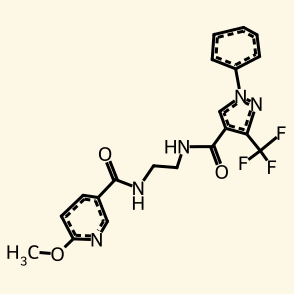 COc1ccc(C(=O)NCCNC(=O)c2cn(-c3ccccc3)nc2C(F)(F)F)cn1